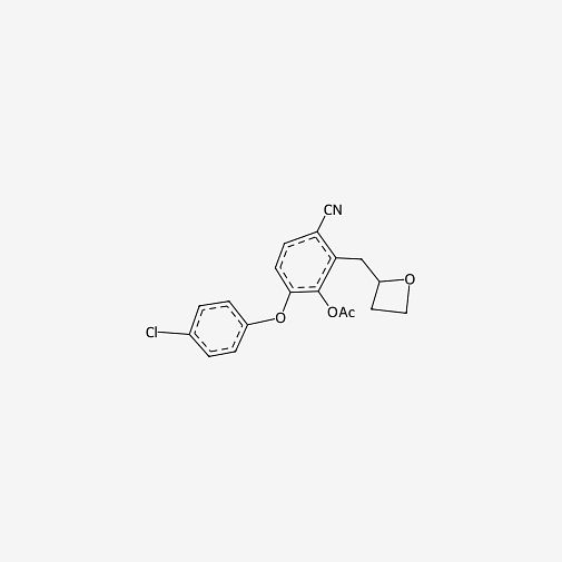 CC(=O)Oc1c(Oc2ccc(Cl)cc2)ccc(C#N)c1CC1CCO1